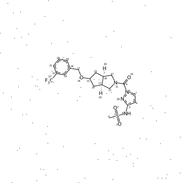 CS(=O)(=O)Nc1ccn(C(=O)N2C[C@H]3CC(OCc4cccc(C(F)(F)F)c4)C[C@H]3C2)n1